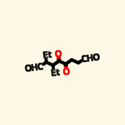 CCC(C=O)C(CC)C(=O)C(=O)CCC=O